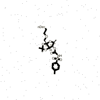 CCCCCCCCCCCCOC[C@@]12O[C@@H](C)[C@@H](OC(=O)NS(=O)(=O)c3ccc(C)cc3)[C@@H]1OC(C)(C)O2